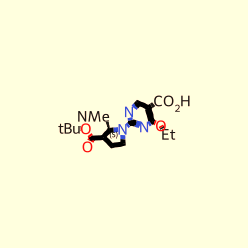 CCOc1nc(N2CCC(C(=O)OC(C)(C)C)[C@H]2NC)ncc1C(=O)O